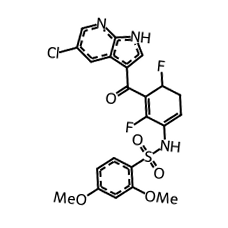 COc1ccc(S(=O)(=O)NC2=CCC(F)C(C(=O)c3c[nH]c4ncc(Cl)cc34)=C2F)c(OC)c1